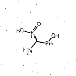 NC(PO)[PH](=O)O